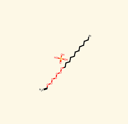 C=COOOOOOOCCCCCCCCCCCC(C)C.O=P(O)(O)O